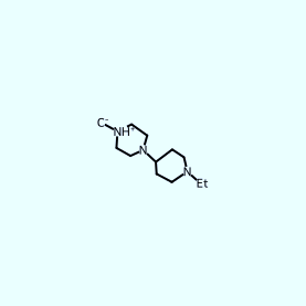 [CH2-][NH+]1CCN(C2CCN(CC)CC2)CC1